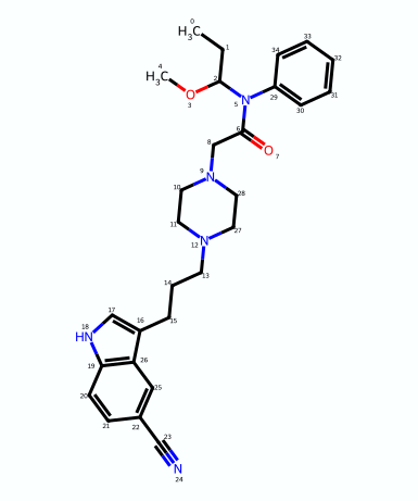 CCC(OC)N(C(=O)CN1CCN(CCCc2c[nH]c3ccc(C#N)cc23)CC1)c1ccccc1